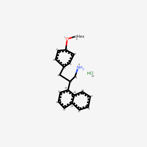 CCCCCCOc1ccc(CC(CN)c2cccc3ccccc23)cc1.Cl